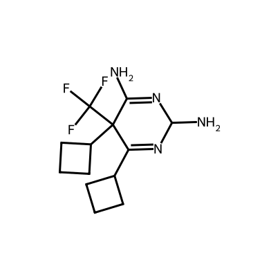 NC1=NC(N)N=C(C2CCC2)C1(C1CCC1)C(F)(F)F